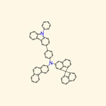 c1ccc(-n2c3ccccc3c3cc(-c4ccc(N(c5cc6c7c(cccc7c5)C65c6cccc7cccc5c67)c5ccc6c(ccc7ccccc76)c5)cc4)ccc32)cc1